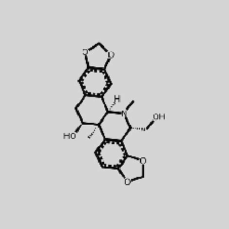 CN1[C@H](CO)c2c(ccc3c2OCO3)[C@@]2(C)[C@@H](O)Cc3cc4c(cc3[C@@H]12)OCO4